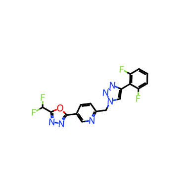 Fc1cccc(F)c1-c1cn(Cc2ccc(-c3nnc(C(F)F)o3)cn2)nn1